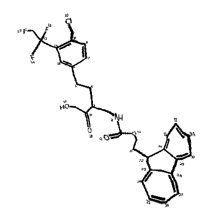 O=C(NC(CCc1ccc(Cl)c(C(F)(F)F)c1)C(=O)O)OCC1c2ccccc2-c2ccccc21